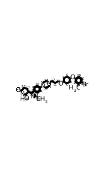 Cc1cc(OC2CCC(OCCCN3CCN(c4ccc5c(C6CCC(=O)NC6=O)nn(C)c5c4)CC3)CC2)ccc1Br